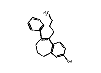 CCCCC1=C(c2ccccc2)CCCc2cc(O)ccc21